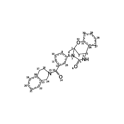 CC12CC(NC(=O)N1c1cccc(C(=O)N3CCc4ccccc4C3)c1)c1ccccc1O2